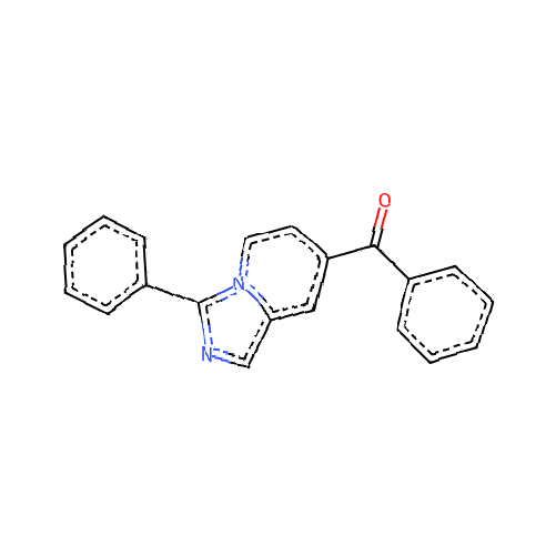 O=C(c1ccccc1)c1ccn2c(-c3ccccc3)ncc2c1